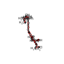 Cc1ncsc1-c1ccc([C@H](C)NC(=O)[C@@H]2C[C@@H](O)CN2C(=O)[C@@H](NCCOCCOCCOCCOCCOCCN2CCN(C3CCC(CNc4ccc(S(=O)(=O)NC(=O)c5ccc(N6CCN(CC7=C(c8ccc(Cl)cc8)CC(C)(C)CC7)CC6)cc5Oc5cnc6[nH]ccc6c5)cc4[N+](=O)[O-])CC3)CC2)C(C)(C)C)cc1